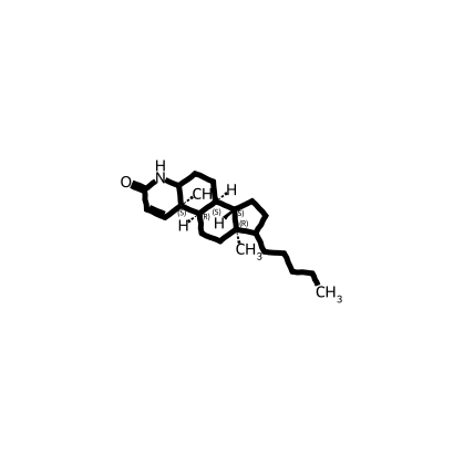 CCCCCC1CC[C@H]2[C@@H]3CCC4NC(=O)C=C[C@]4(C)[C@@H]3CC[C@]12C